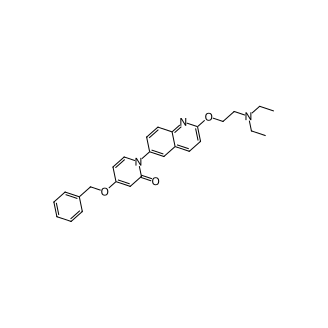 CCN(CC)CCOc1ccc2cc(-n3ccc(OCc4ccccc4)cc3=O)ccc2n1